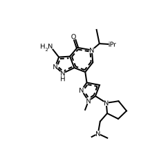 CC(C)C(C)n1cc(-c2cc(N3CCCC3CN(C)C)n(C)n2)c2[nH]nc(N)c2c1=O